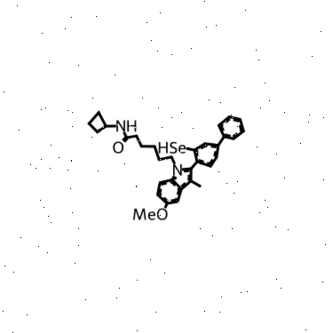 COc1ccc2c(c1)c(C)c(-c1ccc(-c3ccccc3)cc1[SeH])n2CCCCCC(=O)NC1CCC1